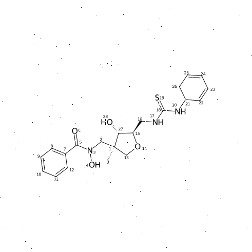 C[C@@]1(CN(O)C(=O)c2ccccc2)CO[C@H](CNC(=S)NC2C=CC=CC2)[C@H]1O